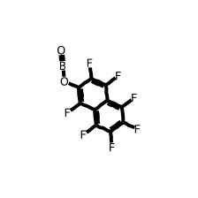 O=BOc1c(F)c(F)c2c(F)c(F)c(F)c(F)c2c1F